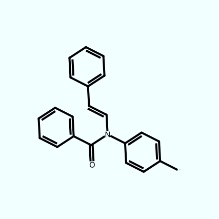 [CH2]c1ccc(N(C=Cc2ccccc2)C(=O)c2ccccc2)cc1